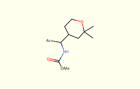 COC(=O)NC(C(C)=O)C1CCOC(C)(C)C1